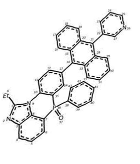 CCc1nc2cccc3c2n1-c1ccc(-c2c4ccccc4c(-c4cccnc4)c4ccccc24)cc1P3(=O)c1ccccc1